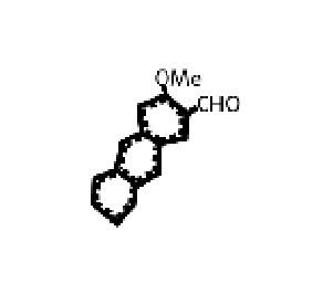 COc1cc2cc3ccccc3cc2cc1C=O